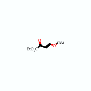 CCCCOC=CC(=O)C(=O)OCC